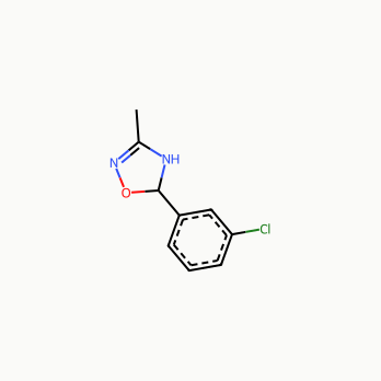 CC1=NOC(c2cccc(Cl)c2)N1